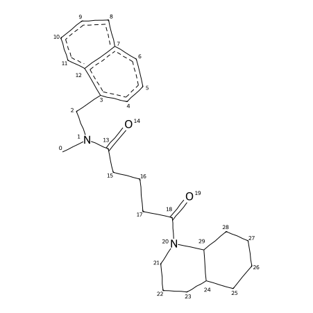 CN(Cc1cccc2ccccc12)C(=O)CCCC(=O)N1CCCC2CCCCC21